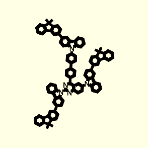 CC1(C)c2ccccc2-c2cc(-c3ccc4c(c3)c3ccccc3n4-c3ccc(-c4ccc(-c5nc(-n6c7ccccc7c7cc(-c8ccc9c(c8)-c8ccccc8C9(C)C)ccc76)nc6ccc(-n7c8ccccc8c8cc(-c9ccc%10c(c9)-c9ccccc9C%10(C)C)ccc87)cc56)cc4)cc3)ccc21